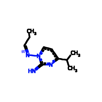 CC/C=N\n1ccc(C(C)C)nc1=N